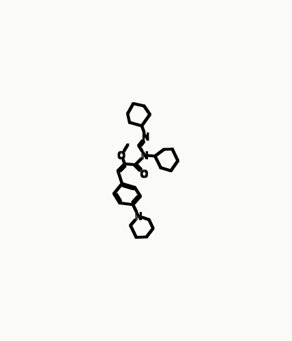 CO/C(=C/c1ccc(N2CCCCC2)cc1)C(=O)N(C=NC1CCCCC1)C1CCCCC1